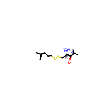 CC(C)CCCSSC[C@H](N)C(=O)C(C)C